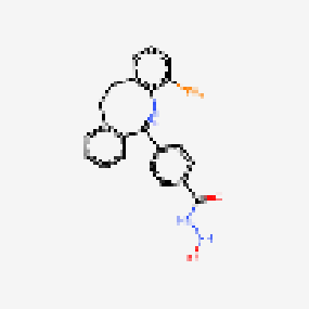 O=C(NNO)c1ccc(/C2=N/c3c(P)cccc3CCc3ccccc32)cc1